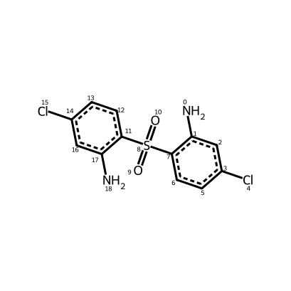 Nc1cc(Cl)ccc1S(=O)(=O)c1ccc(Cl)cc1N